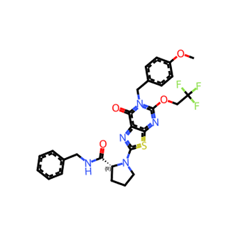 COc1ccc(Cn2c(OCC(F)(F)F)nc3sc(N4CCC[C@@H]4C(=O)NCc4ccccc4)nc3c2=O)cc1